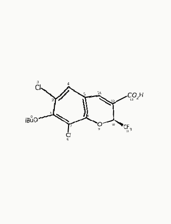 CC(C)COc1c(Cl)cc2c(c1Cl)O[C@H](C(F)(F)F)C(C(=O)O)=C2